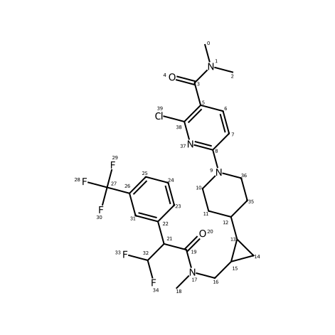 CN(C)C(=O)c1ccc(N2CCC(C3CC3CN(C)C(=O)C(c3cccc(C(F)(F)F)c3)C(F)F)CC2)nc1Cl